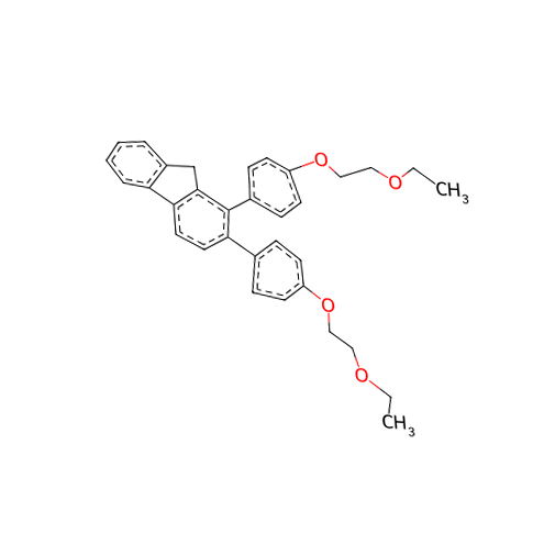 CCOCCOc1ccc(-c2ccc3c(c2-c2ccc(OCCOCC)cc2)Cc2ccccc2-3)cc1